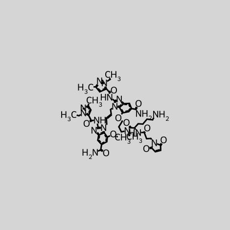 CCn1nc(C)cc1C(=O)Nc1nc2cc(C(N)=O)cc(OC)c2n1CC=CCn1c(NC(=O)c2cc(C)nn2CC)nc2cc(C(N)=O)cc(OCCCN(C)C(=O)C(CCCCN)NC(=O)CCN3C(=O)C=CC3=O)c21